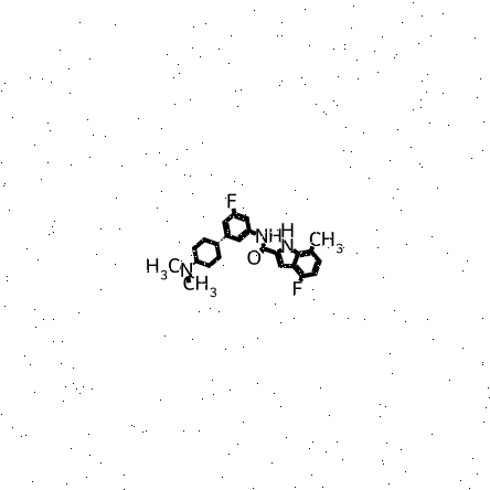 Cc1ccc(F)c2cc(C(=O)Nc3cc(F)cc([C@H]4CC[C@@H](N(C)C)CC4)c3)[nH]c12